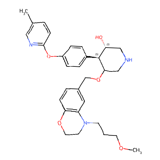 COCCCN1CCOc2ccc(COC3CNC[C@@H](O)[C@@H]3c3ccc(Oc4ccc(C)cn4)cc3)cc21